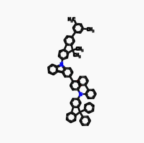 Cc1cc(C)cc(-c2ccc3c(c2)C(C)(C)c2cc(-n4c5ccccc5c5cc(-c6ccc(N(c7ccc8c(c7)C(c7ccccc7)(c7ccccc7)c7ccccc7-8)c7ccccc7-c7ccccc7)cc6)ccc54)ccc2-3)c1